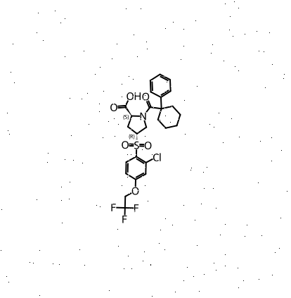 O=C(O)[C@@H]1C[C@@H](S(=O)(=O)c2ccc(OCC(F)(F)F)cc2Cl)CN1C(=O)C1(c2ccccc2)CCCCC1